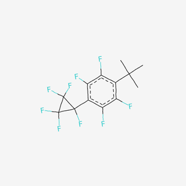 CC(C)(C)c1c(F)c(F)c(C2(F)C(F)(F)C2(F)F)c(F)c1F